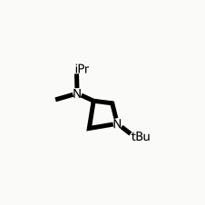 CC(C)N(C)C1CN(C(C)(C)C)C1